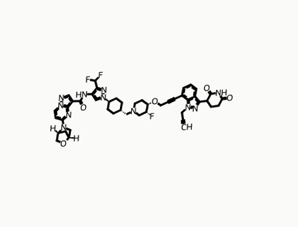 C#CCn1nc(C2CCC(=O)NC2=O)c2cccc(C#CCO[C@H]3CCN(C[C@H]4CC[C@H](n5cc(NC(=O)c6cnn7ccc(N8C[C@H]9C[C@@H]8CO9)nc67)c(C(F)F)n5)CC4)C[C@H]3F)c21